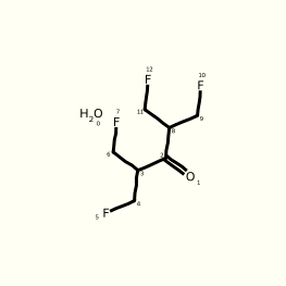 O.O=C(C(CF)CF)C(CF)CF